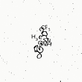 Cc1cc(OC(F)(F)F)ccc1-c1cnc(NC(=O)C2CCC(=O)c3cccn32)s1